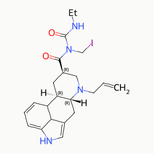 C=CCN1C[C@H](C(=O)N(CI)C(=O)NCC)C[C@@H]2C3C=CC=C4NC=C(C[C@H]21)C43